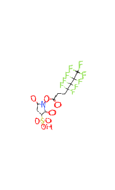 O=C(CCC(F)(F)C(F)(F)C(F)(F)C(F)(F)F)ON1C(=O)CC(S(=O)(=O)O)C1=O